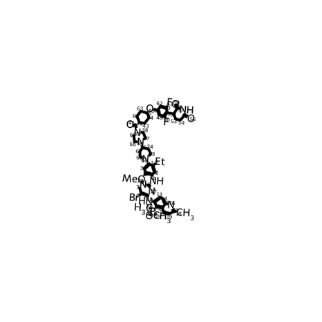 CCc1cc(Nc2ncc(Br)c(Nc3ccc4nc(C)ccc4c3P(C)(C)=O)n2)c(OC)cc1N1CCC(N2CCN(C(=O)[C@H]3CC[C@@H](Oc4cc(F)c(C5CCC(=O)NC5=O)c(F)c4)CC3)CC2)CC1